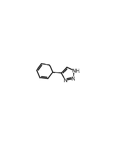 C1=CCC(c2c[nH]nn2)C=C1